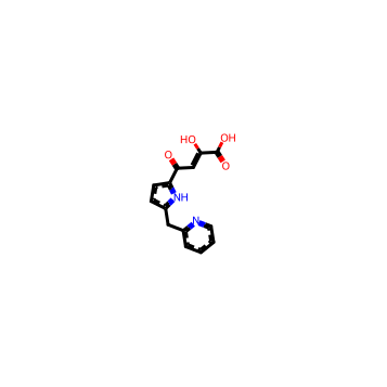 O=C(O)C(O)=CC(=O)c1ccc(Cc2ccccn2)[nH]1